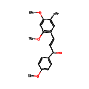 CCCc1cc(C=CC(=O)c2ccc(OCC)cc2)c(OC(C)(C)C)cc1OC(C)(C)C